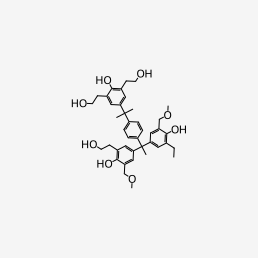 CCc1cc(C(C)(c2ccc(C(C)(C)c3cc(CCO)c(O)c(CCO)c3)cc2)c2cc(CCO)c(O)c(COC)c2)cc(COC)c1O